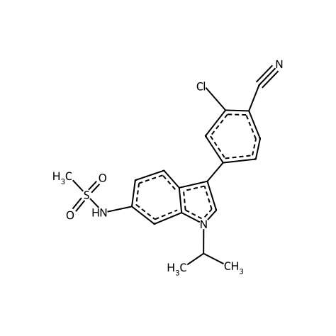 CC(C)n1cc(-c2ccc(C#N)c(Cl)c2)c2ccc(NS(C)(=O)=O)cc21